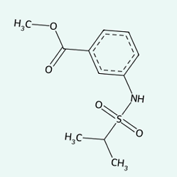 COC(=O)c1cccc(NS(=O)(=O)C(C)C)c1